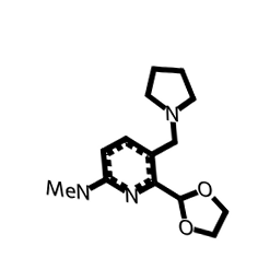 CNc1ccc(CN2CCCC2)c(C2OCCO2)n1